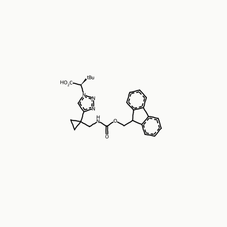 CC(C)(C)[C@H](C(=O)O)n1cc(C2(CNC(=O)OCC3c4ccccc4-c4ccccc43)CC2)nn1